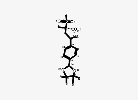 CCC(C[C@](C)(C(=O)O)S(C)(=O)=O)c1ccc(B2OC(C)(C)C(C)(C)O2)cc1